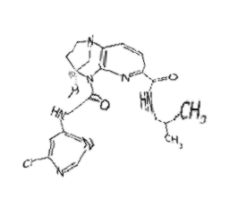 CC(C)NC(=O)c1ccc2c(n1)N(C(=O)Nc1cc(Cl)ncn1)[C@H]1CCN2C1